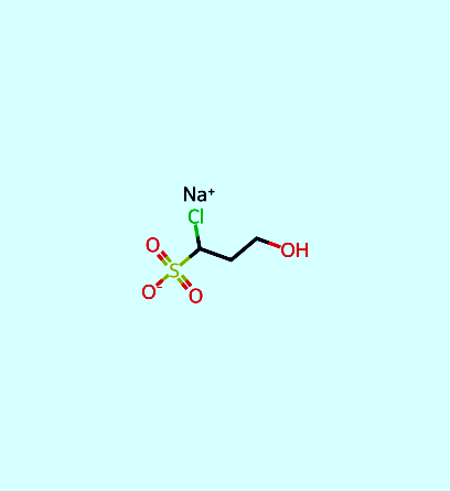 O=S(=O)([O-])C(Cl)CCO.[Na+]